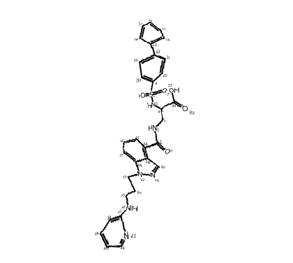 O=C(NCC(NS(=O)(=O)c1ccc(-c2ccccc2)cc1)C(=O)O)c1cccc2c1cnn2CCCNc1ccccn1